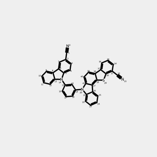 N#Cc1ccc2c(c1)c1ccccc1n2-c1cccc(-n2c3ccccc3c3c4sc5c(C#N)cccc5c4ccc32)c1